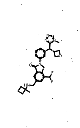 Cn1cnnc1C(c1cccc(N2Cc3c(cc(CNC4(C)CCC4)cc3C(F)F)C2=O)c1)C1COC1